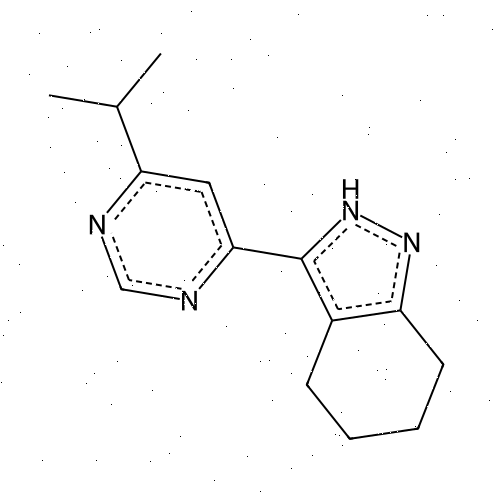 CC(C)c1cc(-c2[nH]nc3c2CCCC3)ncn1